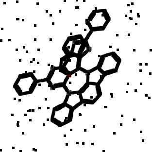 c1ccc(-c2nc(-c3ccccc3)nc(-n3c4ccccc4c4ccc5c6ccccc6n(-c6cccc7nc(-c8ccccn8)oc67)c5c43)n2)cc1